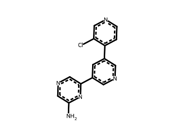 Nc1cncc(-c2cncc(-c3ccncc3Cl)c2)n1